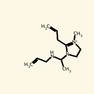 C=CCNC(C)N1CC[N+](C)=C1CC=C